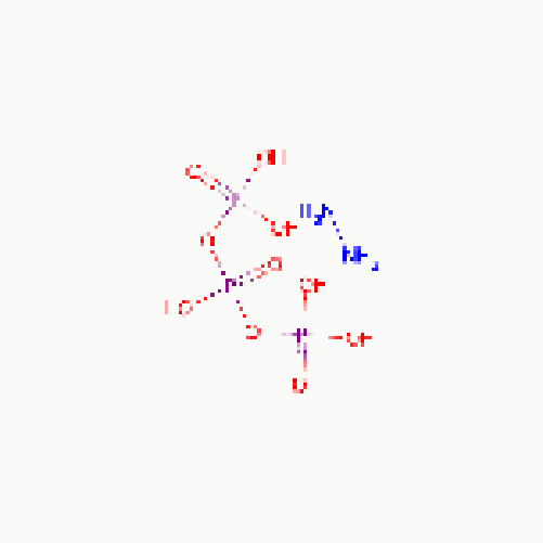 NN.O=P(O)(O)OP(=O)(O)OP(=O)(O)O